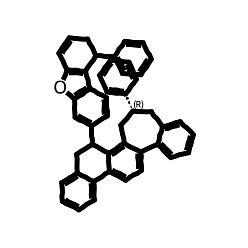 C1=Cc2oc3cc(C4Cc5ccccc5-c5ccc6c(c54)C[C@H](c4ccccc4)Cc4ccccc4-6)ccc3c2C(c2ccccc2)C1